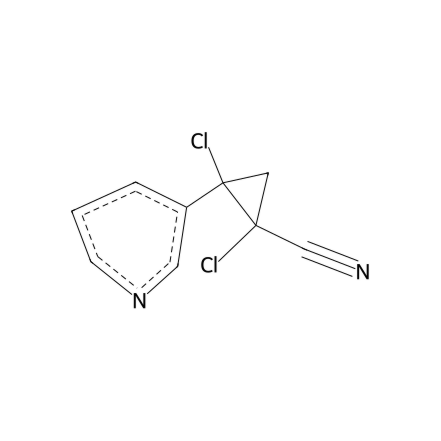 N#CC1(Cl)CC1(Cl)c1cccnc1